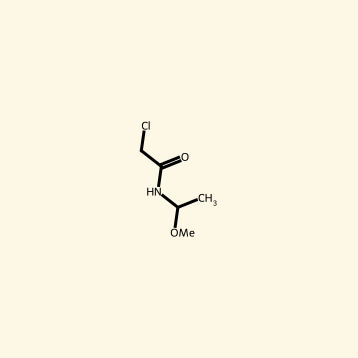 COC(C)NC(=O)CCl